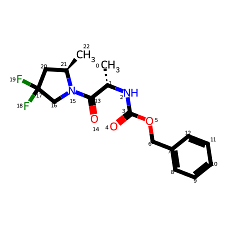 C[C@H](NC(=O)OCc1ccccc1)C(=O)N1CC(F)(F)C[C@H]1C